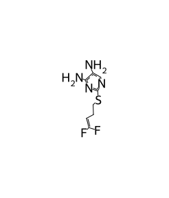 Nc1cnc(SCCC=C(F)F)nc1N